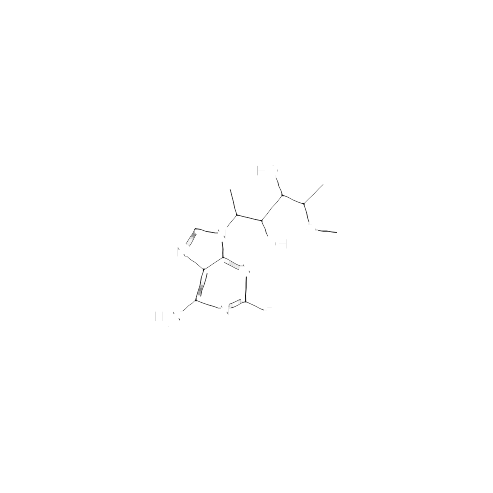 COC(C)C(O)C(O)C(C)n1cnc2c(N)nc(F)nc21